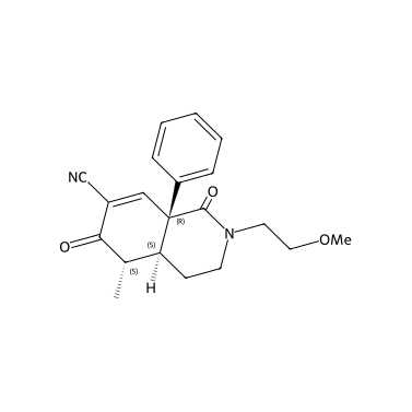 COCCN1CC[C@H]2[C@H](C)C(=O)C(C#N)=C[C@]2(c2ccccc2)C1=O